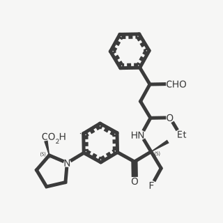 CCOC(CC(C=O)c1ccccc1)N[C@](C)(CF)C(=O)c1cc[c]c(N2CCC[C@H]2C(=O)O)c1